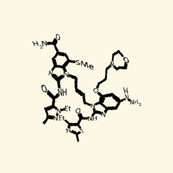 CCc1nc(C)sc1C(=O)Nc1nc2cc(NN)cc(OCCCN3CCOCC3)c2n1C/C=C/Cn1c(NC(=O)c2cc(C)nn2CC)nc2cc(C(N)=O)cc(SC)c21